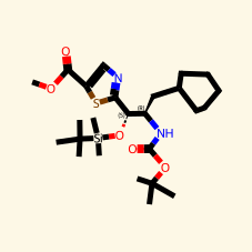 COC(=O)c1cnc([C@@H](O[Si](C)(C)C(C)(C)C)[C@@H](CC2CCCCC2)NC(=O)OC(C)(C)C)s1